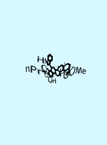 CCCC(=O)Oc1c(O)cc2c(c1C)C(c1c[nH]c3ccccc13)C=C1[C@@]2(C)CC[C@@]2(C)[C@@H]3C[C@](C)(C(=O)OC)CC[C@]3(C)CC[C@]12C